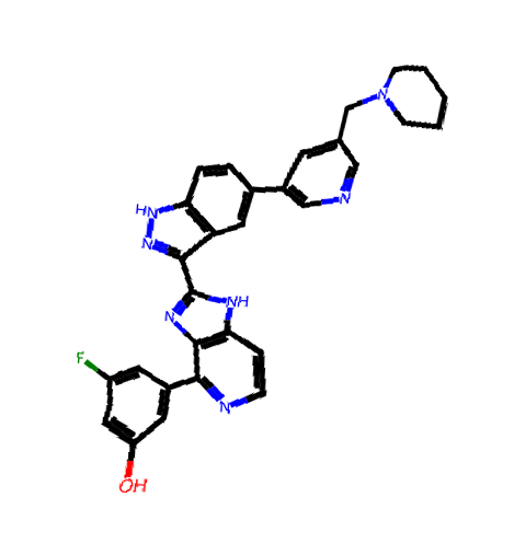 Oc1cc(F)cc(-c2nccc3[nH]c(-c4n[nH]c5ccc(-c6cncc(CN7CCCCC7)c6)cc45)nc23)c1